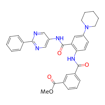 COC(=O)c1cccc(C(=O)Nc2ccc(N3CCCCC3)cc2C(=O)Nc2cnc(-c3ccccc3)nc2)c1